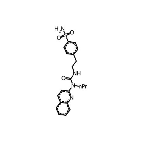 CCCN(C(=O)NCCc1ccc(S(N)(=O)=O)cc1)c1ccc2ccccc2n1